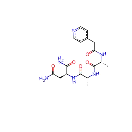 C[C@@H](NC(=O)Cc1ccncc1)C(=O)N[C@H](C)C(=O)N[C@@H](CC(N)=O)C(N)=O